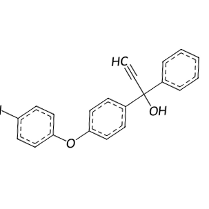 C#CC(O)(c1ccccc1)c1ccc(Oc2ccc(Cl)cc2)cc1